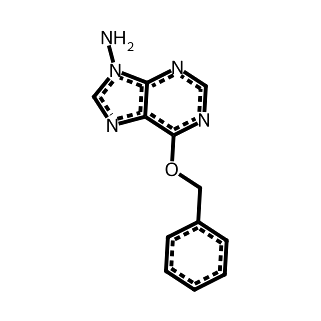 Nn1cnc2c(OCc3ccccc3)ncnc21